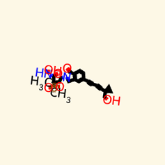 C[C@@](CCN1Cc2cc(C#CC#CC3(CO)CC3)ccc2C1=O)(C(=O)NO)S(C)(=O)=O